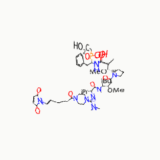 CCC(C)C(C(CC(=O)N1CCC[C@H]1C(OC)C(C)C(=O)NC(Cc1ccccc1)P(=O)(O)CC(=O)O)OC)N(C)C(=O)C(/N=C(/N(C)C)N1CCN(C(=O)CCCCCN2C(=O)C=CC2=O)CC1)C(C)C